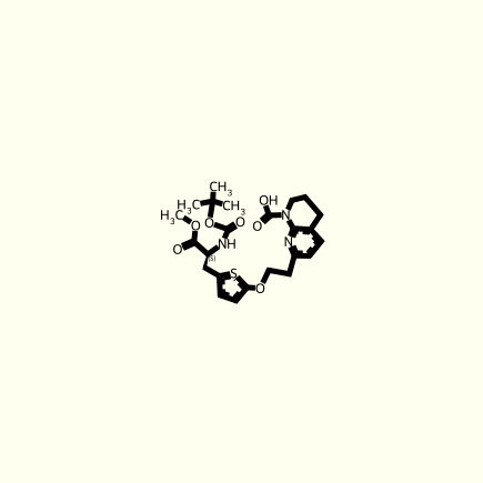 COC(=O)[C@H](Cc1ccc(OCCc2ccc3c(n2)N(C(=O)O)CCC3)s1)NC(=O)OC(C)(C)C